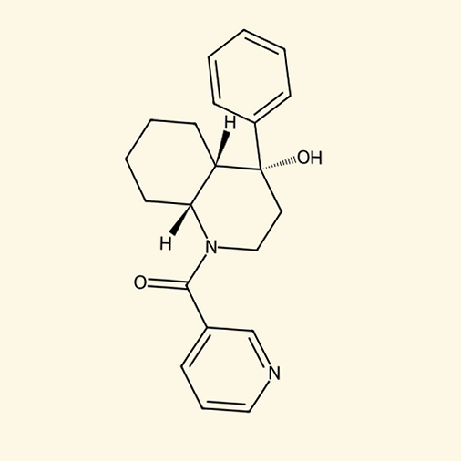 O=C(c1cccnc1)N1CC[C@](O)(c2ccccc2)[C@H]2CCCC[C@H]21